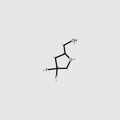 OCC1CC(F)(F)CO1